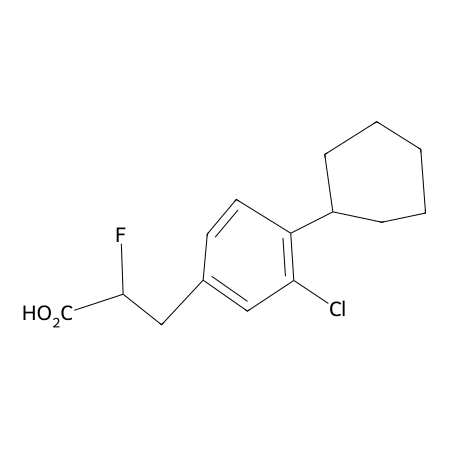 O=C(O)C(F)Cc1ccc(C2CCCCC2)c(Cl)c1